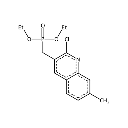 CCOP(=O)(Cc1cc2ccc(C)cc2nc1Cl)OCC